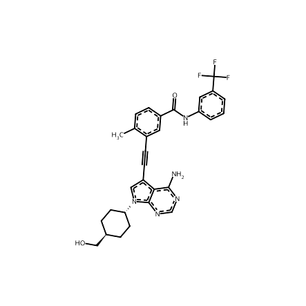 Cc1ccc(C(=O)Nc2cccc(C(F)(F)F)c2)cc1C#Cc1cn([C@H]2CC[C@H](CO)CC2)c2ncnc(N)c12